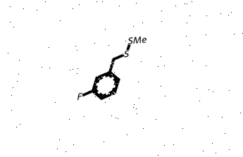 CSSCc1cccc(F)c1